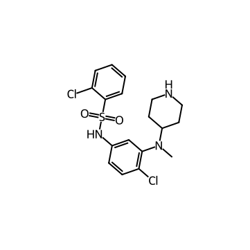 CN(c1cc(NS(=O)(=O)c2ccccc2Cl)ccc1Cl)C1CCNCC1